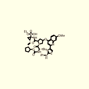 C=C[C@@H]1C[C@]1(NC(=O)C1CC(Oc2cc(-c3csc(NC(C)C)n3)nc3cc(OC)ccc23)CN1C(=O)[C@@H](NC(=O)OC1CCCC1)C(C)(C)C)P(=O)(O)OCC